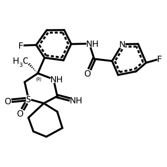 C[C@@]1(c2cc(NC(=O)c3ccc(F)cn3)ccc2F)CS(=O)(=O)C2(CCCCC2)C(=N)N1